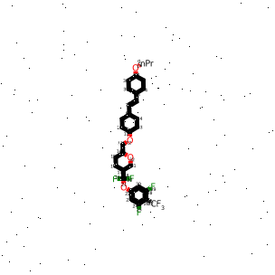 CCCOC1CCC(/C=C/C2CCC(OCC3CCC(C(F)(F)Oc4cc(F)c(C(F)(F)F)c(F)c4)CO3)CC2)CC1